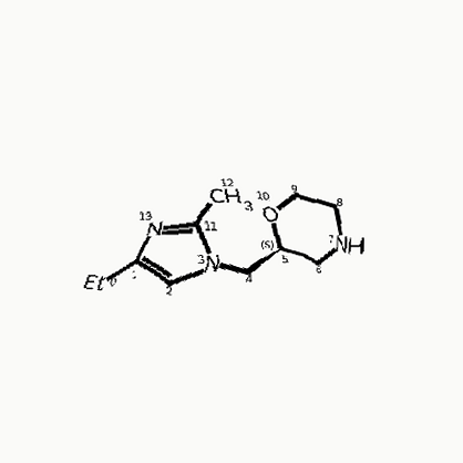 CCc1cn(C[C@@H]2CNCCO2)c(C)n1